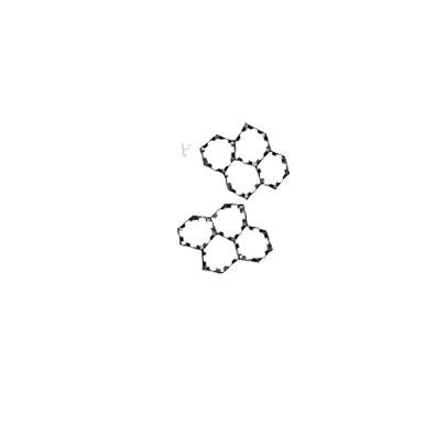 [B].c1cc2ccc3cccc4ccc(c1)c2c34.c1cc2ccc3cccc4ccc(c1)c2c34